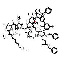 CCCCCCN(C)[C@@H](C)C(=O)N[C@@H](C)C(=O)N[C@@H](C)C(=O)N[C@@H](CC(N)=O)C(=O)N[C@@H](CCN(C(=O)CO)[C@@H](c1cc(-c2cc(F)ccc2F)cn1Cc1ccccc1)C(C)(C)C)C(=O)NCCC(=O)N[C@@H](CCC(=O)OCc1ccccc1)C(=O)OCc1ccccc1